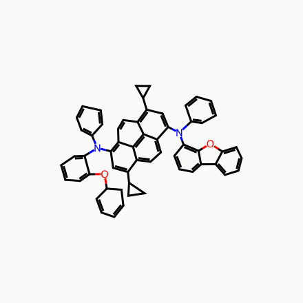 C1=CCC(Oc2ccccc2N(c2ccccc2)c2cc(C3CC3)c3ccc4c(N(c5ccccc5)c5cccc6c5oc5ccccc56)cc(C5CC5)c5ccc2c3c54)C=C1